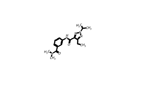 CCc1nn(C(C)C)nc1C(=O)Nc1cccc(C(=O)N(C)C)c1